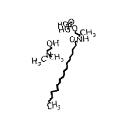 CCCCCCCCCCCCCCCCCC(=O)NC(C)COP(=O)(O)O.CN(C)CCO